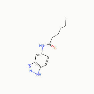 CCCCCC(=O)Nc1ccc2[nH]nnc2c1